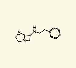 c1ccc(CCNC2CN3CCSC23)cc1